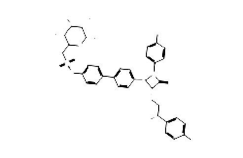 C[C@@H]1OC(CS(=O)(=O)Oc2ccc(-c3ccc([C@@H]4[C@@H](CC[C@H](O)c5ccc(F)cc5)C(=O)N4c4ccc(F)cc4)cc3)cc2)[C@H](O)[C@@H](O)[C@@H]1O